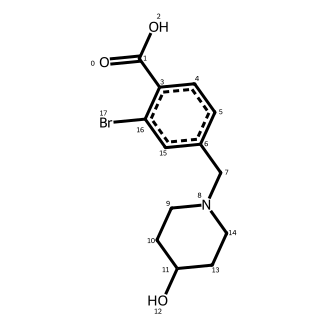 O=C(O)c1ccc(CN2CCC(O)CC2)cc1Br